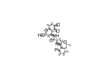 CCOc1cc(C(=O)N[C@@H](CC(=O)O)c2cccc(Cl)c2Cl)nn1-c1ccccc1F